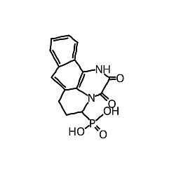 O=c1[nH]c2c3ccccc3cc3c2n(c1=O)C(P(=O)(O)O)CC3